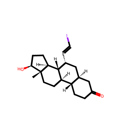 C[C@]12CC[C@@H]3[C@H]4CCC(=O)C[C@@H]4C[C@@H](/C=C/I)[C@H]3[C@@H]1CC[C@@H]2O